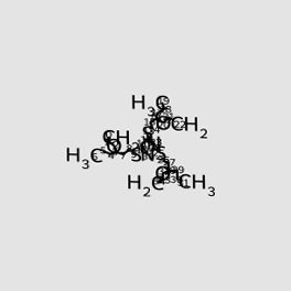 C=COC(CCC)CCSc1cc(SCCC(CCC)OC=C)nc(SCCC(CCC)OC=C)n1